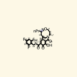 CCC/C1=N/OCC[C@H](C)N2C[C@H](C1)n1cc(C(=O)NCc3c(F)cc(F)cc3F)c(=O)c(O)c1C2=O